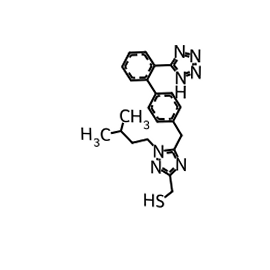 CC(C)CCn1nc(CS)nc1Cc1ccc(-c2ccccc2-c2nnn[nH]2)cc1